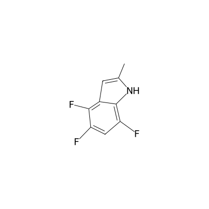 Cc1cc2c(F)c(F)cc(F)c2[nH]1